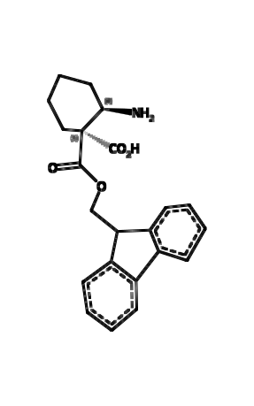 N[C@@H]1CCCC[C@]1(C(=O)O)C(=O)OCC1c2ccccc2-c2ccccc21